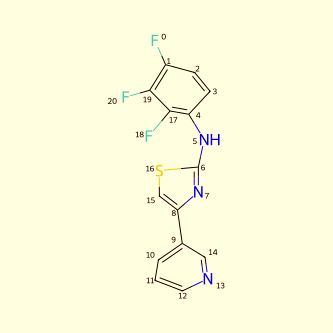 Fc1ccc(Nc2nc(-c3cccnc3)cs2)c(F)c1F